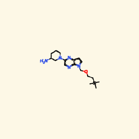 C[Si](C)(C)CCOCn1ccc2nc(N3CCCC(N)C3)cnc21